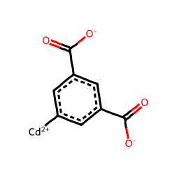 O=C([O-])c1c[c]([Cd+2])cc(C(=O)[O-])c1